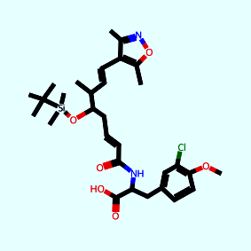 COc1ccc(CC(NC(=O)/C=C/CC(O[Si](C)(C)C(C)(C)C)C(C)/C=C/c2c(C)noc2C)C(=O)O)cc1Cl